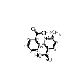 Cc1ccc(C(=O)O)cn1.O=C(O)c1ccccc1